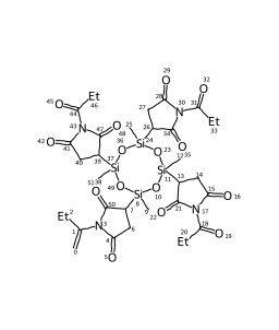 C=C(CC)N1C(=O)CC([Si]2(C)O[Si](C)(C3CC(=O)N(C(=O)CC)C3=O)O[Si](C)(C3CC(=O)N(C(=O)CC)C3=O)O[Si](C)(C3CC(=O)N(C(=O)CC)C3=O)O2)C1=O